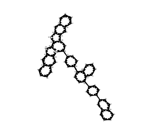 c1ccc2cc(-c3ccc(-c4ccc(-c5ccc(-c6cc7c8cc9ccccc9cc8sc7c7nc8cc9ccccc9cc8n67)cc5)c5ccccc45)cc3)ccc2c1